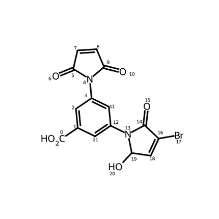 O=C(O)c1cc(N2C(=O)C=CC2=O)cc(N2C(=O)C(Br)=CC2O)c1